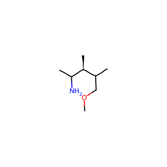 COCC(C)[C@H](C)C(C)N